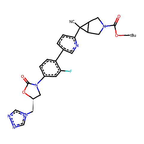 CC(C)(C)OC(=O)N1CC2C(C1)C2(C#N)c1ccc(-c2ccc(N3C[C@H](Cn4cnnc4)OC3=O)cc2F)cn1